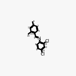 Cc1ccc(C=Nc2ccc(Cl)cc2Cl)c(C)c1